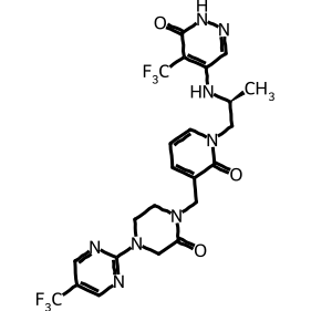 C[C@@H](Cn1cccc(CN2CCN(c3ncc(C(F)(F)F)cn3)CC2=O)c1=O)Nc1cn[nH]c(=O)c1C(F)(F)F